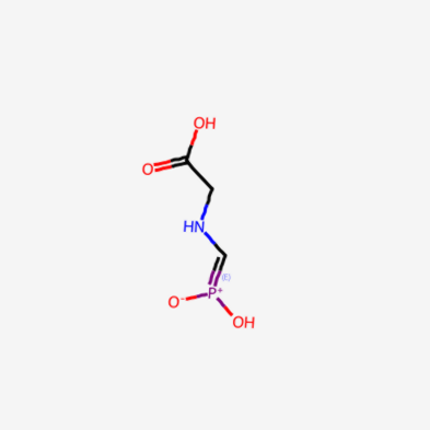 O=C(O)CN/C=[P+](\[O-])O